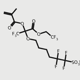 C=C(C)C(=O)OC(OCCCCC(F)(F)C(F)(F)S(=O)(=O)O)(C(=O)OCC(F)(F)F)C(F)(F)F